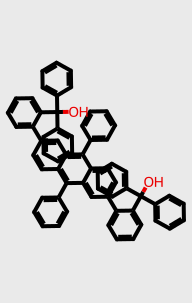 OC(c1ccccc1)(c1ccccc1)c1ccccc1-c1ccc2c(-c3ccccc3)c3cc(-c4ccccc4C(O)(c4ccccc4)c4ccccc4)ccc3c(-c3ccccc3)c2c1